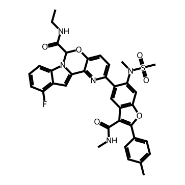 CCNC(=O)C1Oc2ccc(-c3cc4c(C(=O)NC)c(-c5ccc(C)cc5)oc4cc3N(C)S(C)(=O)=O)nc2-c2cc3c(F)cccc3n21